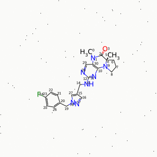 CN1C(=O)[C@]2(C)CCCN2c2nc(NCc3cnn(Cc4ccc(F)cc4)c3)ncc21